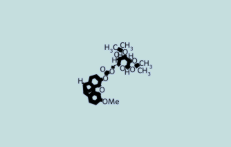 COc1ccc2c3c1OC1C(OC(=O)OC[C@H]4O[C@@H]5OC(C)(C)O[C@@H]5[C@H]5OC(C)(C)O[C@H]54)=CCC4[C@H](CCCC314)C2